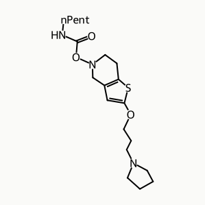 CCCCCNC(=O)ON1CCc2sc(OCCCN3CCCC3)cc2C1